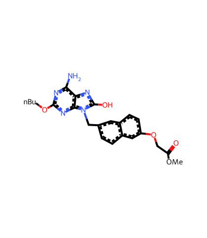 CCCCOc1nc(N)c2nc(O)n(Cc3ccc4cc(OCC(=O)OC)ccc4c3)c2n1